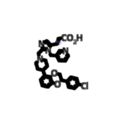 O=C(O)/C=C/c1cnc(CN2CCC(c3cccc4c3OCC(c3ccc(Cl)cc3)O4)CC2)n1Cc1cccnc1